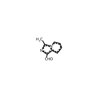 Cc1nc(C=O)c2ccccn12